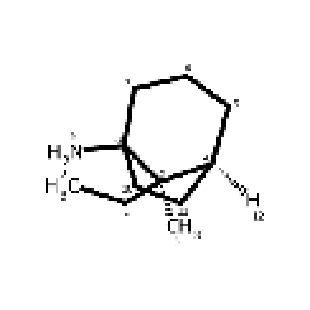 CC[C@]1(C)[C@H]2CCCC1(N)CC2